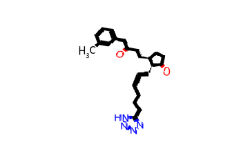 Cc1cccc(CC(=O)CC[C@H]2CCC(=O)[C@@H]2C/C=C\CCCc2nnn[nH]2)c1